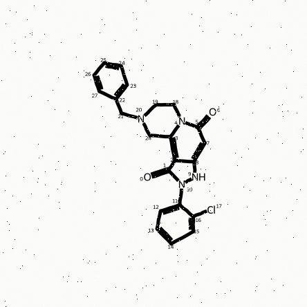 O=c1c2c3n(c(=O)cc2[nH]n1-c1ccccc1Cl)CCN(Cc1ccccc1)C3